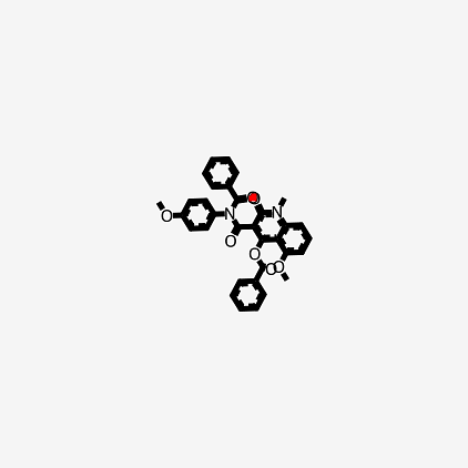 COc1ccc(N(C(=O)c2ccccc2)C(=O)c2c(OC(=O)c3ccccc3)c3c(OC)cccc3n(C)c2=O)cc1